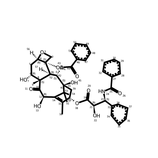 CC(=O)O[C@@]12CO[C@@H]1C[C@@H](O)[C@@]1(C)C(=O)[C@H](O)C3=C(C)[C@@H](OC(=O)[C@H](O)[C@@H](NC(=O)c4ccccc4)c4ccccc4)C[C@@](O)([C@@H](OC(=O)c4ccccc4)[C@H]21)C3(C)C